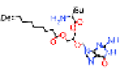 CCCCCCCCCCCCCCCCCC(=O)OCC(COC(=O)[C@@H](N)[C@@H](C)CC)OCn1cnc2c(=O)[nH]c(N)nc21